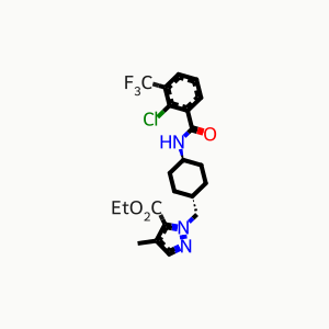 CCOC(=O)c1c(C)cnn1C[C@H]1CC[C@H](NC(=O)c2cccc(C(F)(F)F)c2Cl)CC1